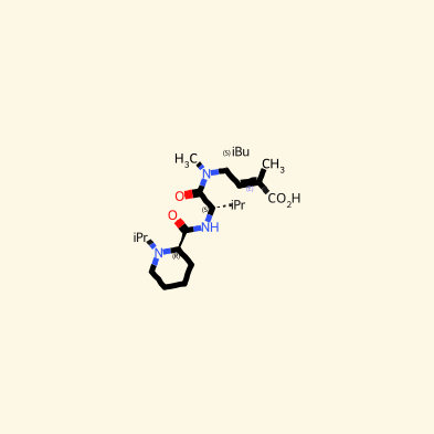 CC[C@H](C)C(/C=C(\C)C(=O)O)N(C)C(=O)[C@@H](NC(=O)[C@H]1CCCCN1C(C)C)C(C)C